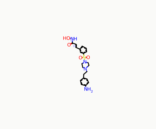 Nc1ccc(CCN2CCN(S(=O)(=O)c3cccc(/C=C/C(=O)NO)c3)CC2)cc1